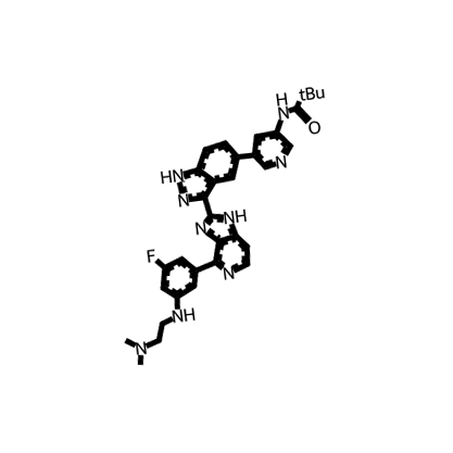 CN(C)CCNc1cc(F)cc(-c2nccc3[nH]c(-c4n[nH]c5ccc(-c6cncc(NC(=O)C(C)(C)C)c6)cc45)nc23)c1